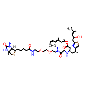 B/C(C)=C/C(O)Cc1nc([C@@H](C)C[C@H](CC(=O)OC(C)C/C(C)=C/C=C\C=O)NCC(=O)NCCOCCOCCNC(=O)CCCCC2SC[C@@H]3NC(=O)N[C@H]23)cs1